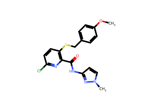 COc1ccc(CSc2ccc(Cl)nc2C(=O)Nc2ccn(C)n2)cc1